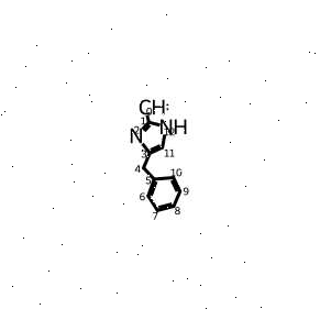 [CH]c1nc(Cc2ccccc2)c[nH]1